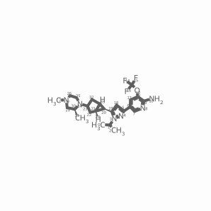 CC(C)n1nc(-c2cnc(N)c(OC(F)(F)F)c2)cc1[C@H]1[C@@H]2CC(N3CCN(C)C[C@@H]3C)C[C@@H]21